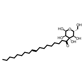 CCCCCCCCC=CCCCCCCCC(=O)[C@]1(O)[C@H](O)[C@@H](CO)O[C@H](O)[C@@H]1O